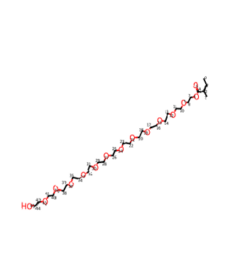 CC=C(C)C(=O)OCCOCCOCCOCCOCCOCCOCCOCCOCCOCCOCCOCCOCCO